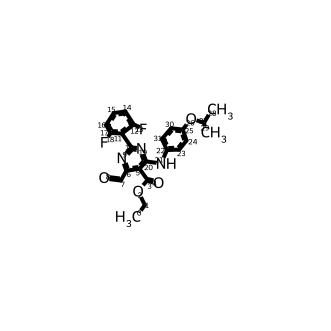 CCOC(=O)c1c(C=O)nc(-c2c(F)cccc2F)nc1Nc1ccc(OC(C)C)cc1